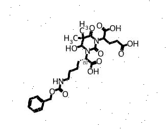 CC1(C)C(=O)N(C(CCC(=O)O)C(=O)O)C(=O)N([C@@H](CCCCNC(=O)OCc2ccccc2)C(=O)O)C1O